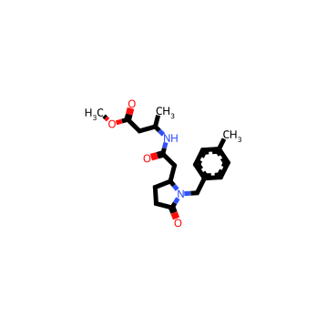 COC(=O)CC(C)NC(=O)CC1CCC(=O)N1Cc1ccc(C)cc1